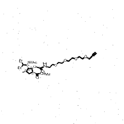 C#CCOCCOCCOCCOCCNC(=O)O[C@H]1[C@@H]([C@@H](NC(C)=O)C(CC)CC)[C@H](C)C[C@@H]1C(=O)OC